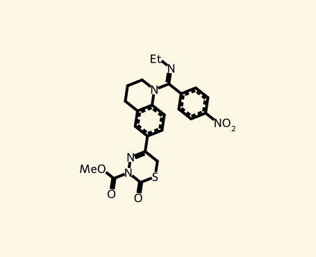 CC/N=C(/c1ccc([N+](=O)[O-])cc1)N1CCCc2cc(C3=NN(C(=O)OC)C(=O)SC3)ccc21